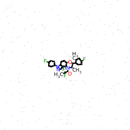 Cc1cc(F)ccc1[C@H](Oc1ccc2c(cnn2-c2ccc(F)cc2)c1)[C@H](C)NC(=O)C(C)(F)F